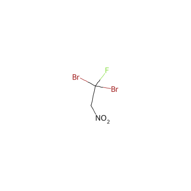 O=[N+]([O-])CC(F)(Br)Br